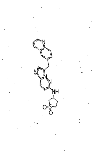 O=S1(=O)CCC(Nc2ccc3ncc(Cc4ccc5ncccc5c4)n3n2)C1